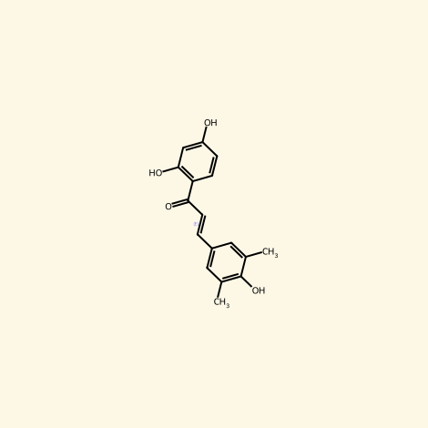 Cc1cc(/C=C/C(=O)c2ccc(O)cc2O)cc(C)c1O